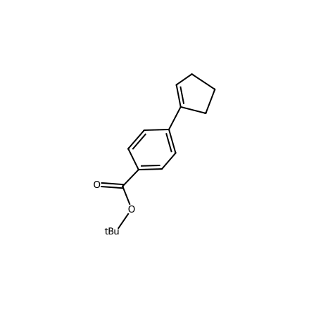 CC(C)(C)OC(=O)c1ccc(C2=CCCC2)cc1